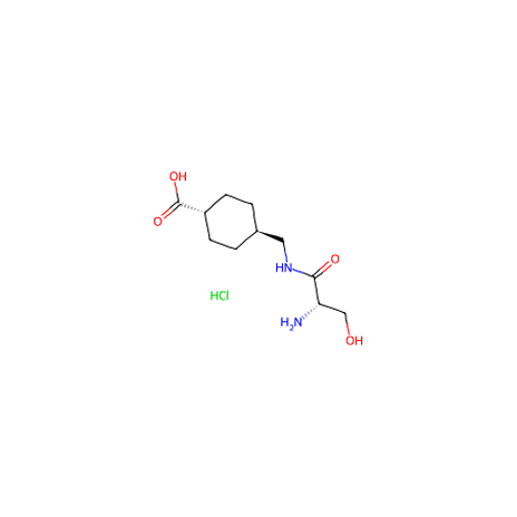 Cl.N[C@@H](CO)C(=O)NC[C@H]1CC[C@H](C(=O)O)CC1